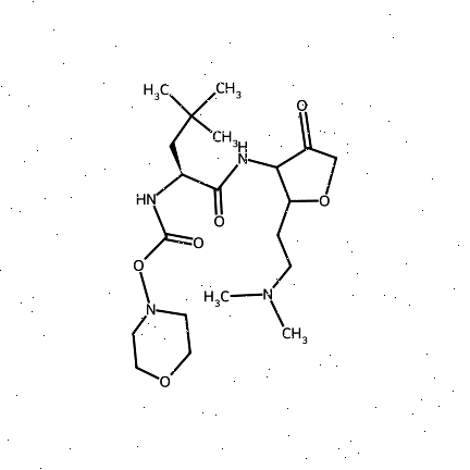 CN(C)CCC1OCC(=O)C1NC(=O)[C@H](CC(C)(C)C)NC(=O)ON1CCOCC1